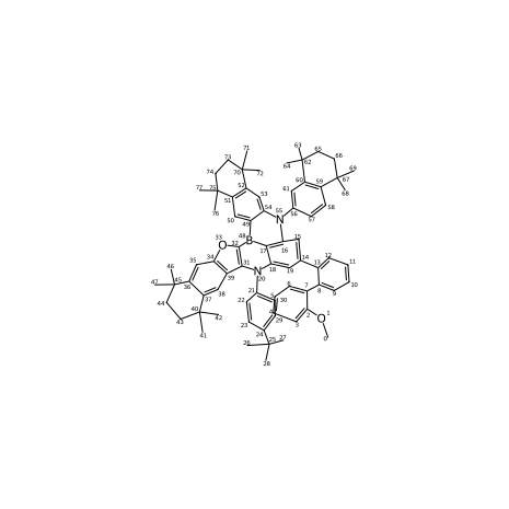 COc1ccccc1-c1ccccc1-c1cc2c3c(c1)N(c1ccc(C(C)(C)C)cc1)c1c(oc4cc5c(cc14)C(C)(C)CCC5(C)C)B3c1cc3c(cc1N2c1ccc2c(c1)C(C)(C)CCC2(C)C)C(C)(C)CCC3(C)C